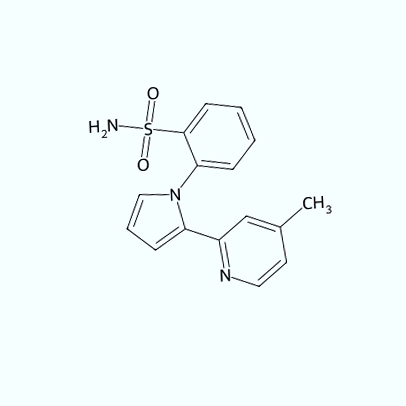 Cc1ccnc(-c2cccn2-c2ccccc2S(N)(=O)=O)c1